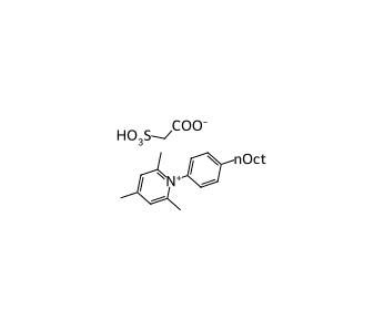 CCCCCCCCc1ccc(-[n+]2c(C)cc(C)cc2C)cc1.O=C([O-])CS(=O)(=O)O